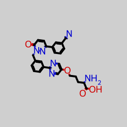 N#Cc1cccc(-c2ccc(=O)n(Cc3cccc(-c4ncc(OCCCC(N)C(=O)O)cn4)c3)n2)c1